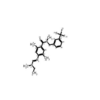 CCN(C)/C=N/c1cc(C)c(C(=S)N(C)Cc2cccc(C(F)(F)F)c2)cc1C